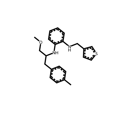 COCC(Cc1ccc(C)cc1)Nc1ccccc1NCc1ccsc1